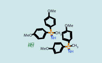 COc1ccc(P(C)(=N)c2ccc(OC)cc2)cc1.COc1ccc(P(C)(=N)c2ccc(OC)cc2)cc1.Cl.Cl